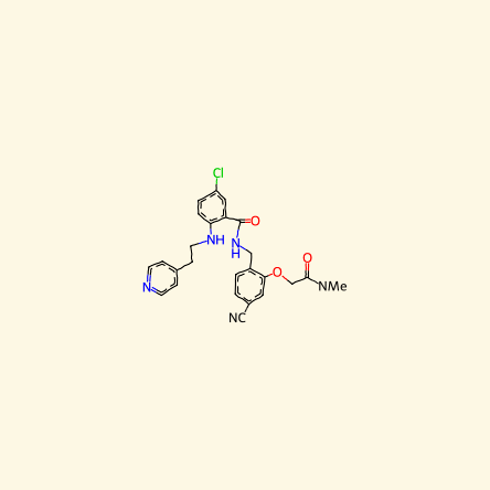 CNC(=O)COc1cc(C#N)ccc1CNC(=O)c1cc(Cl)ccc1NCCc1ccncc1